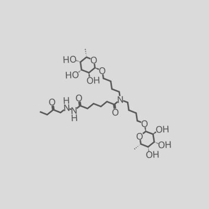 CCC(=O)CNNC(=O)CCCCC(=O)N(CCCCO[C@@H]1O[C@@H](C)[C@@H](O)[C@@H](O)[C@@H]1O)CCCCO[C@@H]1O[C@@H](C)[C@@H](O)[C@@H](O)[C@@H]1O